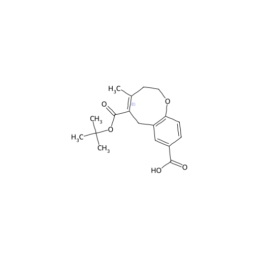 C/C1=C(\C(=O)OC(C)(C)C)Cc2cc(C(=O)O)ccc2OCC1